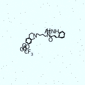 CC(=O)Nc1ccccc1C=CC(=O)NCCCCN1CCc2ccc(OS(=O)(=O)C(F)(F)F)cc2C1